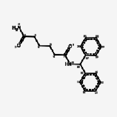 NC(=O)CCCCC(=O)NC(c1ccccc1)c1ccccc1